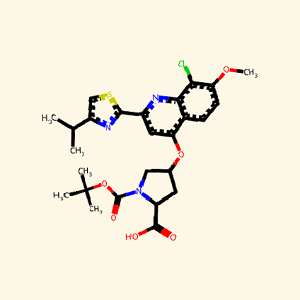 COc1ccc2c(OC3CC(C(=O)O)N(C(=O)OC(C)(C)C)C3)cc(-c3nc(C(C)C)cs3)nc2c1Cl